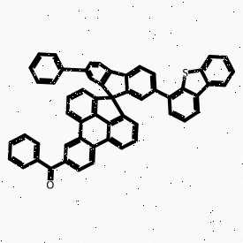 O=C(c1ccccc1)c1ccc2c(c1)c1cccc3c1c1c(cccc21)C31c2cc(-c3ccccc3)ccc2-c2ccc(-c3cccc4c3sc3ccccc34)cc21